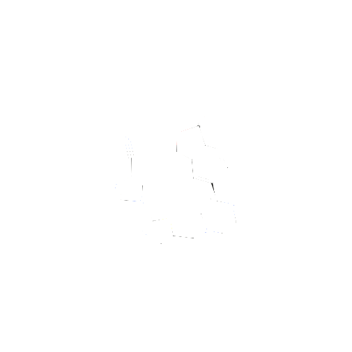 Cc1c([C@@H]2CN(Cc3cnc(-n4cnc(C#N)c4)s3)CCN2)ccc2c1COC2=O